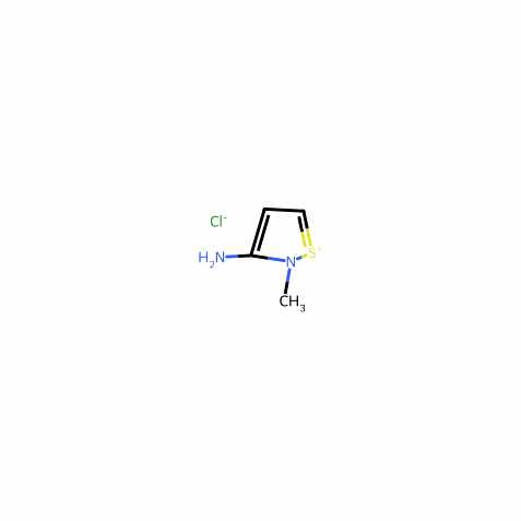 Cn1[s+]ccc1N.[Cl-]